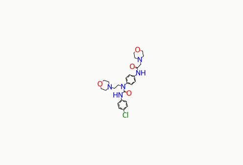 O=C(CN1CCOCC1)Nc1ccc(N(CCN2CCOCC2)C(=O)Nc2ccc(Cl)cc2)cc1